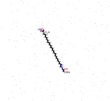 C1=CONO1.COCC(O)CNCCCCCCCCCCCCCCCCCCCCCCCCCC(=O)O